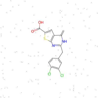 C=C1NC(Cc2ccc(Cl)c(Cl)c2)=Nc2sc(C(=O)O)cc21